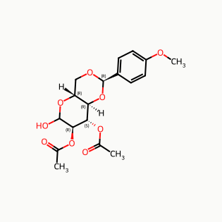 COc1ccc([C@@H]2OC[C@H]3OC(O)[C@H](OC(C)=O)[C@@H](OC(C)=O)[C@@H]3O2)cc1